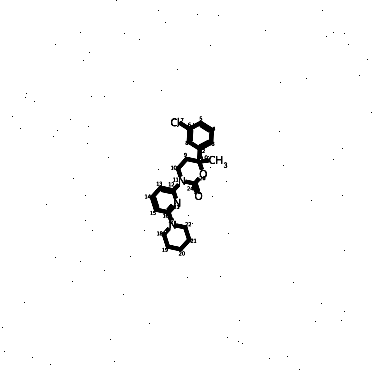 CC1(c2cccc(Cl)c2)CCN(c2cccc(N3CCCCC3)n2)C(=O)O1